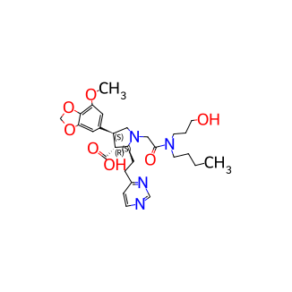 CCCCN(CCCO)C(=O)CN1C[C@H](c2cc(OC)c3c(c2)OCO3)[C@@H](C(=O)O)[C@@H]1CCc1ccncn1